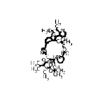 CCn1c(-c2cccnc2C(C)C)c2c3cc(ccc31)-c1cnc(o1)C[C@H](NC(=O)[C@H](C(C)C)N(C)C(=O)OC(C)(C)C)C(=O)N1CCC[C@H](N1)C(=O)OCC(C)(C)C2